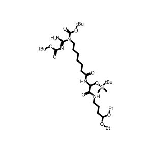 CCOC(CCCNC(=O)C(NC(=O)CCCCCCN(C(=O)OC(C)(C)C)C(N)=NC(=O)OC(C)(C)C)O[Si](C)(C)C(C)(C)C)OCC